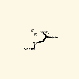 CSC(CNCC(=O)[O-])C(=O)[O-].[K+].[K+]